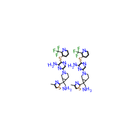 Cc1csc(C2(CN)C3CCN(c4cnc(Sc5cccnc5C(F)(F)F)c(N)n4)CC32)n1.Cc1csc(C2(CN)C3CCN(c4cnc(Sc5cccnc5C(F)(F)F)c(N)n4)CC32)n1